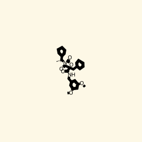 COc1cc(CNC(=O)C2(Cc3ccccc3)OC(=O)N([C@H](C)c3ccccc3)C2=O)cc(OC)c1